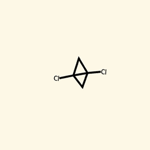 ClC12CC1(Cl)C2